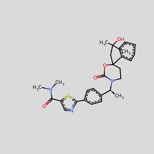 C[C@@H](c1ccc(-c2ncc(C(=O)N(C)C)s2)cc1)N1CCC(CC(C)(C)O)(c2ccccc2)OC1=O